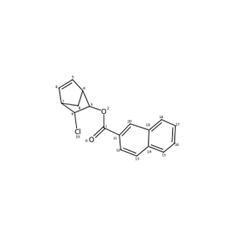 O=C(OC1C2C=CC(C2)C1Cl)c1ccc2ccccc2c1